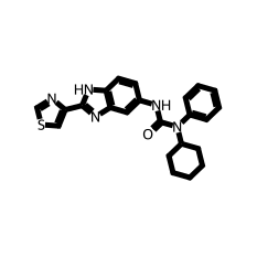 O=C(Nc1ccc2[nH]c(-c3cscn3)nc2c1)N(c1ccccc1)C1CCCCC1